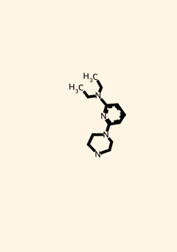 CCN(CC)c1cccc(N2CC[N]CC2)n1